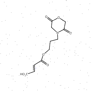 O=C(O)/C=C/C(=O)OCCCN1CC(=O)OCC1=O